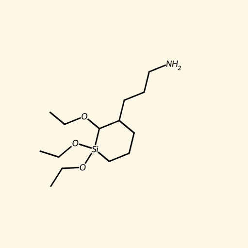 CCOC1C(CCCN)CCC[Si]1(OCC)OCC